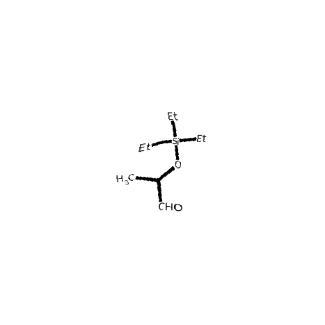 CC[Si](CC)(CC)OC(C)C=O